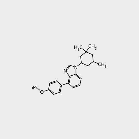 CC1CC(n2cnc3c(-c4ccc(OC(C)C)cc4)cccc32)CC(C)(C)C1